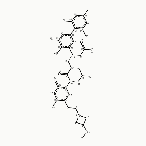 COC1CN(CCc2nn([C@@H](CC(C)C)C(=O)CC[C@@H](CC(=O)O)c3cc(-c4c(C)cc(C)cc4C)cc(C)c3F)c(=O)cc2C)C1